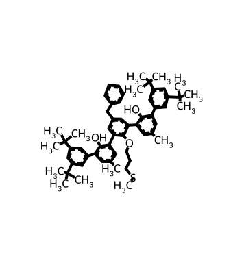 CSCCCOc1c(-c2cc(C)cc(-c3cc(C(C)(C)C)cc(C(C)(C)C)c3)c2O)cc(Cc2ccccc2)cc1-c1cc(C)cc(-c2cc(C(C)(C)C)cc(C(C)(C)C)c2)c1O